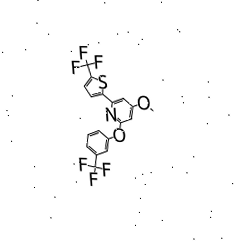 COc1cc(Oc2cccc(C(F)(F)F)c2)nc(-c2ccc(C(F)(F)F)s2)c1